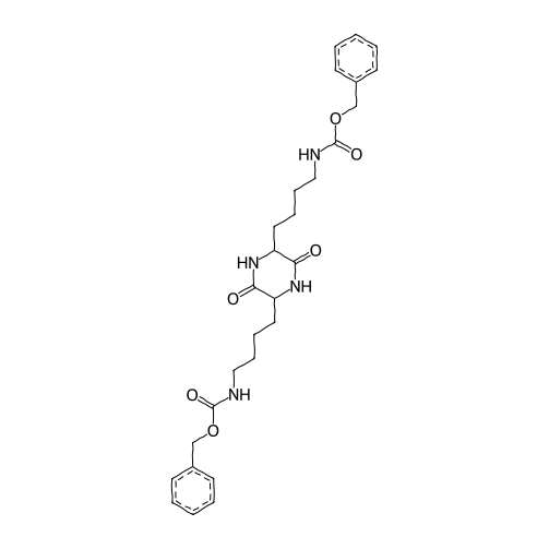 O=C(NCCCCC1NC(=O)C(CCCCNC(=O)OCc2ccccc2)NC1=O)OCc1ccccc1